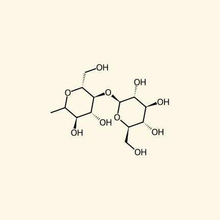 CC1O[C@H](CO)[C@@H](O[C@@H]2O[C@H](CO)[C@@H](O)[C@H](O)[C@H]2O)[C@H](O)[C@H]1O